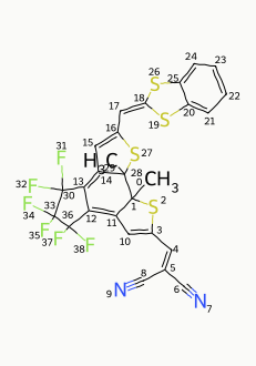 CC12SC(C=C(C#N)C#N)=CC1=C1C(=C3C=C(C=C4Sc5ccccc5S4)SC32C)C(F)(F)C(F)(F)C1(F)F